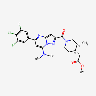 CCCN(c1cc(-c2cc(F)c(Cl)c(F)c2)nc2cc(C(=O)N3CC[C@@H](CC(=O)OC(C)C)[C@@H](C)C3)nn12)C(C)C